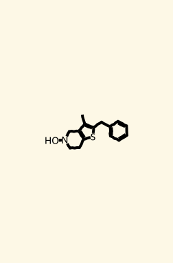 Cc1c(Cc2ccccc2)sc2c1CN(O)CC2